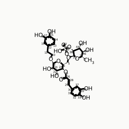 C[C@@H]1O[C@@H](OC[C@H]2O[C@@H](OCCc3ccc(O)c(O)c3)[C@H](O)[C@@H](O)[C@@H]2OC(=O)/C=C/c2ccc(O)c(O)c2)[C@H](OS(=O)(=O)O)[C@H](O)[C@H]1O